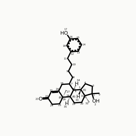 CC1(O)CC[C@H]2[C@@H]3C(CCCCc4cccc(O)c4)CC4=CC(=O)CC[C@]4(C)[C@@H]3CC[C@@]21C